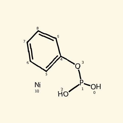 OP(O)Oc1ccccc1.[Ni]